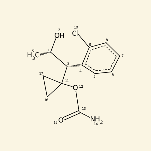 C[C@H](O)[C@H](c1ccccc1Cl)C1(OC(N)=O)CC1